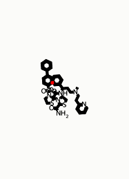 CN(CCc1ccccn1)CCC(NC(=O)C1(N2CCSC2C(N)=O)SCCN1S(=O)(=O)c1ccc(-c2ccccc2)cc1)c1ccccc1